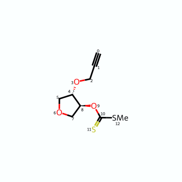 C#CCO[C@H]1COC[C@@H]1OC(=S)SC